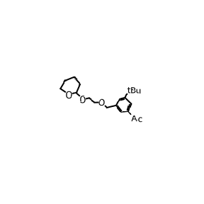 CC(=O)c1cc(COCCOC2CCCCO2)cc(C(C)(C)C)c1